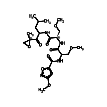 COCC(NC(=O)c1cc(OC)no1)C(=O)N[C@@H](COC)C(=O)NC(CC(C)C)C(=O)[C@@]1(C)CO1